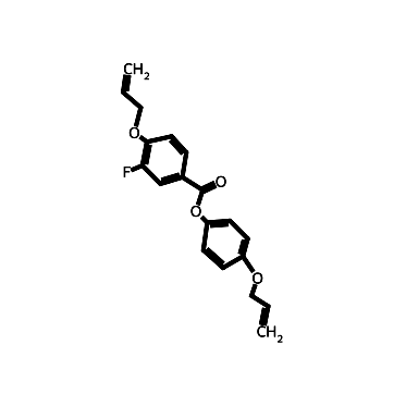 C=CCOc1ccc(OC(=O)c2ccc(OCC=C)c(F)c2)cc1